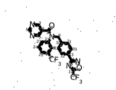 O=C(c1cncnc1)N(Cc1ccc(-c2noc(C(F)(F)F)n2)cc1)c1cccc(C(F)(F)F)c1